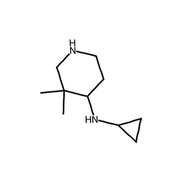 CC1(C)CNCCC1NC1CC1